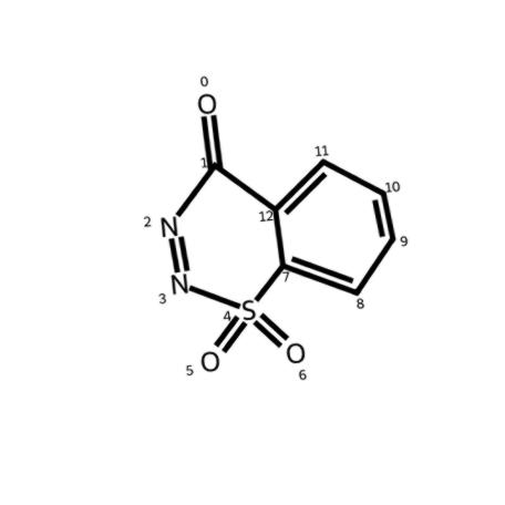 O=C1N=NS(=O)(=O)c2ccccc21